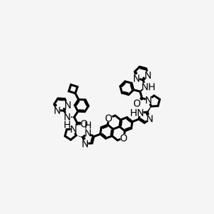 O=C([C@H](Nc1ncccn1)c1ccccc1)N1CCC[C@H]1c1ncc(-c2cc3c4c(c2)OCc2cc(-c5cnc([C@@H]6CCCN6C(=O)[C@H](Nc6ncccn6)c6cccc(C7CCC7)c6)[nH]5)cc(c2-4)OC3)[nH]1